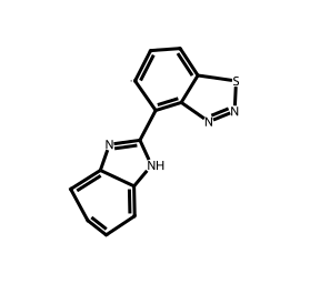 [c]1ccc2snnc2c1-c1nc2ccccc2[nH]1